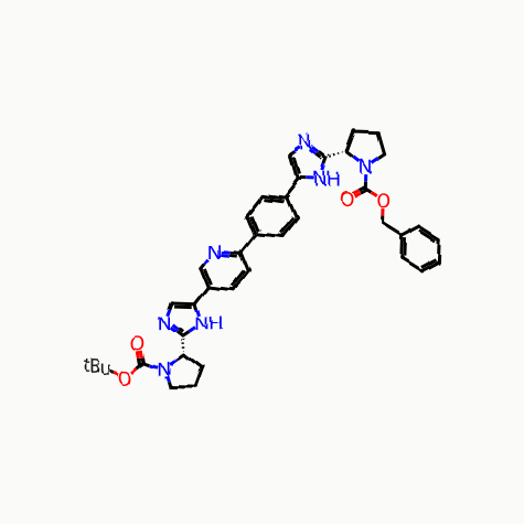 CC(C)(C)OC(=O)N1CCC[C@H]1c1ncc(-c2ccc(-c3ccc(-c4cnc([C@@H]5CCCN5C(=O)OCc5ccccc5)[nH]4)cc3)nc2)[nH]1